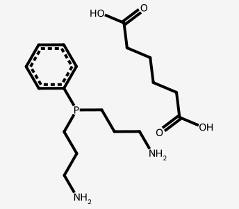 NCCCP(CCCN)c1ccccc1.O=C(O)CCCCC(=O)O